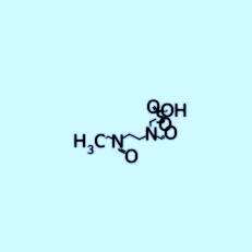 CCN(C=O)CCN(C=O)CS(=O)(=O)O